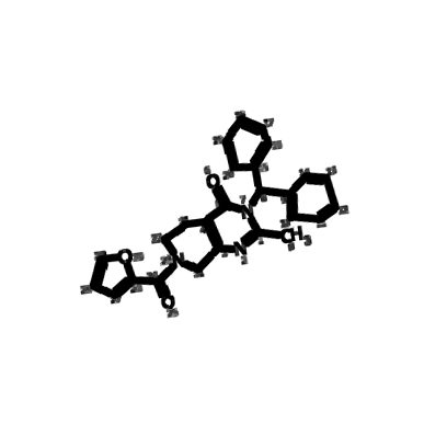 Cc1nc2c(c(=O)n1C(c1ccccc1)c1ccccc1)CCN(C(=O)c1ccco1)C2